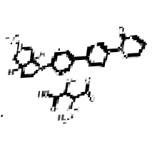 CN1C[C@H]2CCN(c3ccc(-c4ccc(-n5ncccc5=O)cc4)cc3)[C@H]2C1.O.O=C(O)C(O)C(O)C(=O)O